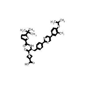 Cc1cc(-c2cnc(-c3ccc(C[C@H](NC(=O)c4ccc(C(C)(C)C)s4)C(=O)N4CC(C(=O)O)C4)cc3)nc2)ccc1OC(C)C